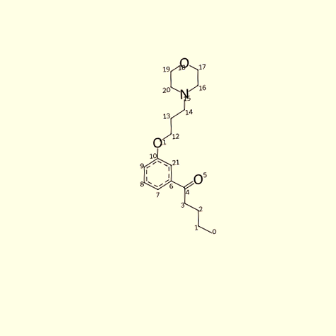 CCCCC(=O)c1cccc(OCCCN2CCOCC2)c1